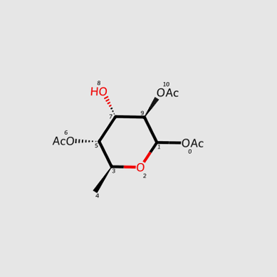 CC(=O)OC1O[C@@H](C)[C@H](OC(C)=O)[C@H](O)[C@H]1OC(C)=O